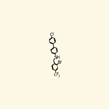 FC(F)(F)c1ccc(CNc2ccc(-c3ccc(Cl)cc3)cc2)c(Br)c1